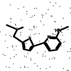 CNc1cccc(-c2ccc(CC(C)C)s2)n1